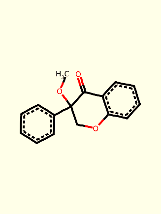 COC1(c2ccccc2)COc2ccccc2C1=O